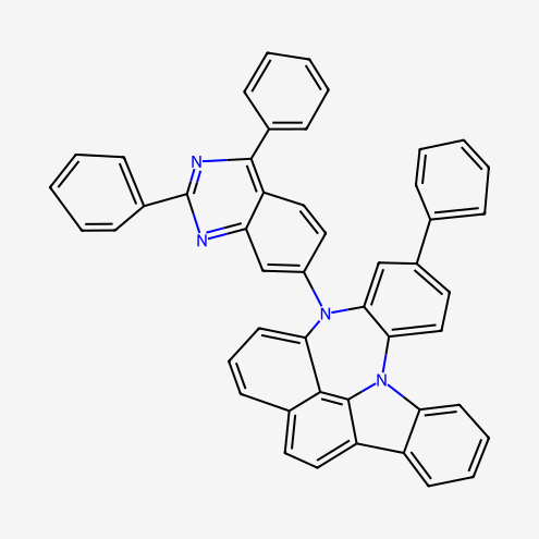 c1ccc(-c2ccc3c(c2)n(-c2ccc4c(-c5ccccc5)nc(-c5ccccc5)nc4c2)c2cccc4ccc5c6ccccc6n3c5c42)cc1